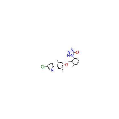 Cc1cc(-c2ccc(Cl)cn2)c(C)cc1OCc1c(C)cccc1-n1nnn(C)c1=O